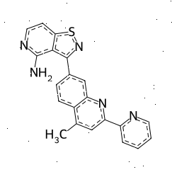 Cc1cc(-c2ccccn2)nc2cc(-c3nsc4ccnc(N)c34)ccc12